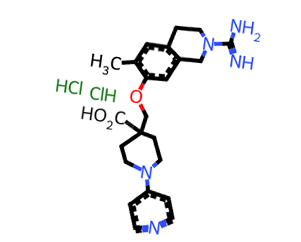 Cc1cc2c(cc1OCC1(C(=O)O)CCN(c3ccncc3)CC1)CN(C(=N)N)CC2.Cl.Cl